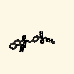 C=CC(=O)Nc1ccc(CCNC(=O)c2ccc3ccccc3c2O)cc1